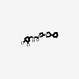 O=C(CNCc1ccc(Cl)c(Cl)c1)N1CCC(N2CCC(c3ccccc3)CC2)C1